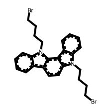 BrCCCCn1c2ccccc2c2c1ccc1c3ccccc3n(CCCCBr)c12